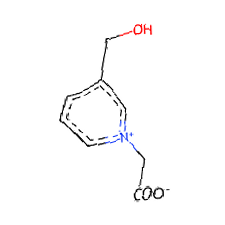 O=C([O-])C[n+]1cccc(CO)c1